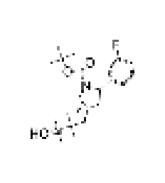 CC(C)(C)OC(=O)N1C[C@H](CC(C)(C)[Si](C)(C)O)CC1c1cccc(F)c1